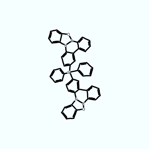 c1ccc([Si](c2ccccc2)(c2ccc3c(c2)-c2ccccc2B2Oc4ccccc4N23)c2ccc3c(c2)-c2ccccc2B2Oc4ccccc4N23)cc1